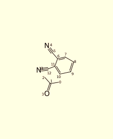 CC(C)=O.N#Cc1ccccc1C#N